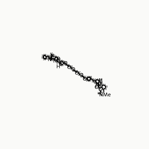 CN[C@@H](C)C(=O)C[C@H](C(=O)N1CC[C@@H]2CCN(CCc3ccc(OCCOCCOCCOCCOCCOC4CCC(Nc5nccc(-c6cnn(Cc7ccccc7)c6N(C)C)n5)CC4)cc3)C[C@@H]21)C1CCCCC1